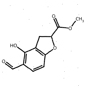 COC(=O)C1Cc2c(ccc(C=O)c2O)O1